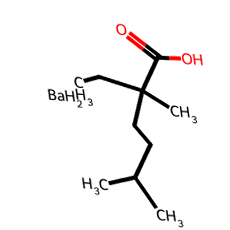 CCC(C)(CCC(C)C)C(=O)O.[BaH2]